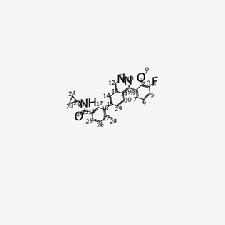 COc1c(F)cccc1-c1nncc2cc(-c3cc(C(=O)NC4CC4)ccc3C)ccc12